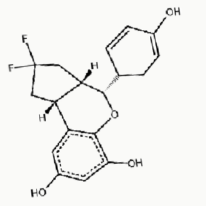 OC1=CCC([C@@H]2Oc3c(O)cc(O)cc3[C@@H]3CC(F)(F)C[C@@H]32)C=C1